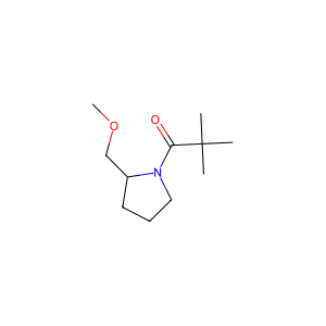 COCC1CCCN1C(=O)C(C)(C)C